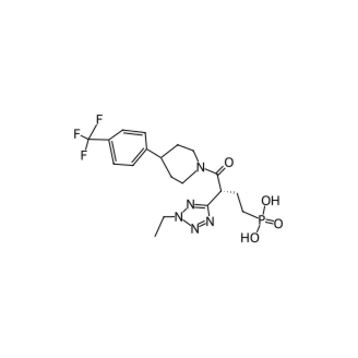 CCn1nnc([C@@H](CCP(=O)(O)O)C(=O)N2CCC(c3ccc(C(F)(F)F)cc3)CC2)n1